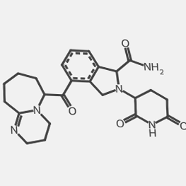 NC(=O)C1c2cccc(C(=O)C3CCCCC4=NCCCN43)c2CN1C1CCC(=O)NC1=O